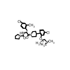 Cc1cc(Cl)ccc1C[C@@H](NC(=O)N1CCCC1)C(=O)N1CCC(c2ccc(Cl)cc2O[C@@H](C)CN(C)C)CC1